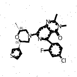 Cc1nc2cc(N3C[C@@H](C)O[C@@H](c4ccsc4)C3)nc(-c3ccc(Cl)cc3F)c2c(=O)n1C